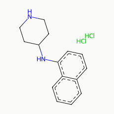 Cl.Cl.c1ccc2c(NC3CCNCC3)cccc2c1